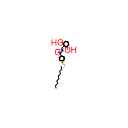 CCCCCCCCCCSc1ccc(C(=O)/C=C/c2c(O)cccc2O)cc1